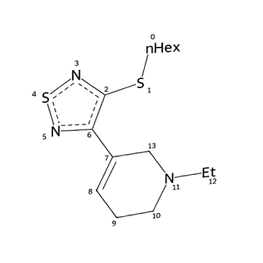 CCCCCCSc1nsnc1C1=CCCN(CC)C1